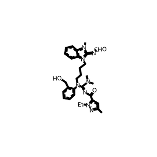 CCn1nc(C)cc1C(=O)/N=C(\N(C)C)N(CCCCn1/c(=N/C=O)n(C)c2ccccc21)c1ccccc1CO